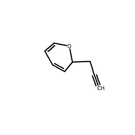 C#CCC1C=CC=CO1